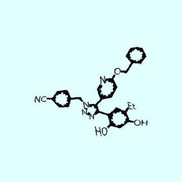 CCc1cc(-c2nnn(Cc3ccc(C#N)cc3)c2-c2ccc(OCc3ccccc3)nc2)c(O)cc1O